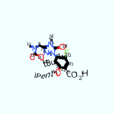 CCCC(C)Oc1cc(-n2nc(CN(C)C(=O)OC(C)(C)C)n(C)c2=O)c(F)cc1C(=O)O